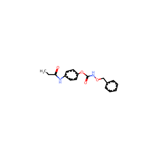 CCC(=O)Nc1ccc(OC(=O)NOCc2ccccc2)cc1